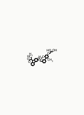 CCC(C(=O)O)C1c2ccccc2-c2cc(OCc3cccc(-c4c(C)cc(OC[C@H](O)CO)cc4C)c3C)ccc21